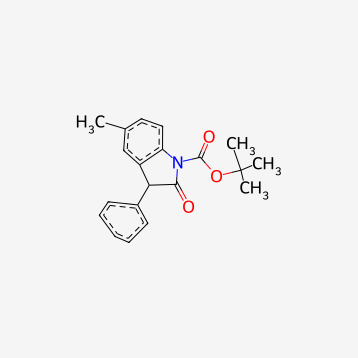 Cc1ccc2c(c1)C(c1ccccc1)C(=O)N2C(=O)OC(C)(C)C